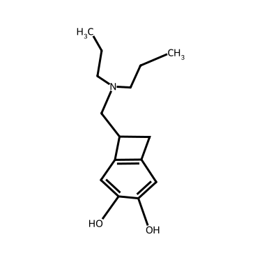 CCCN(CCC)CC1Cc2cc(O)c(O)cc21